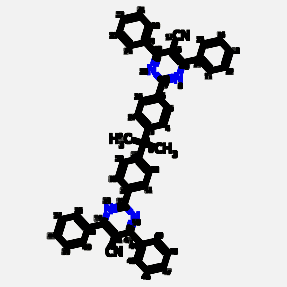 CC(C)(c1ccc(-c2nc(-c3ccccc3)c(C#N)c(-c3ccccc3)n2)cc1)c1ccc(-c2nc(-c3ccccc3)c(C#N)c(-c3ccccc3)n2)cc1